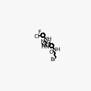 COc1ccc(NC(=O)/C=C/CBr)cc1Nc1cc(Nc2ccc(F)c(Cl)c2)ncn1